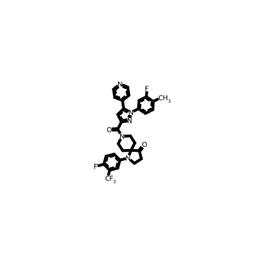 Cc1ccc(-n2nc(C(=O)N3CCC4(CC3)C(=O)CCN4c3ccc(F)c(C(F)(F)F)c3)cc2-c2ccncc2)cc1F